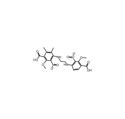 COc1c(C(=O)O)ccc(NCCNc2c(C)c(C)c(C(=O)O)c(OC)c2[N+](=O)[O-])c1[N+](=O)[O-]